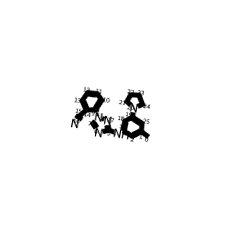 Cc1cc(Nc2ncn(-c3ccccc3C#N)n2)cc(N2CCCC2)c1